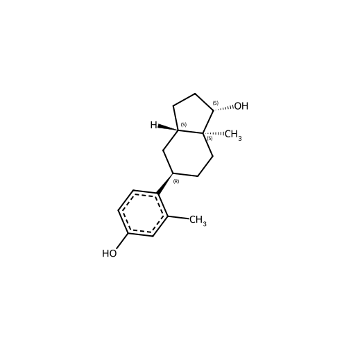 Cc1cc(O)ccc1[C@@H]1CC[C@@]2(C)[C@@H](CC[C@@H]2O)C1